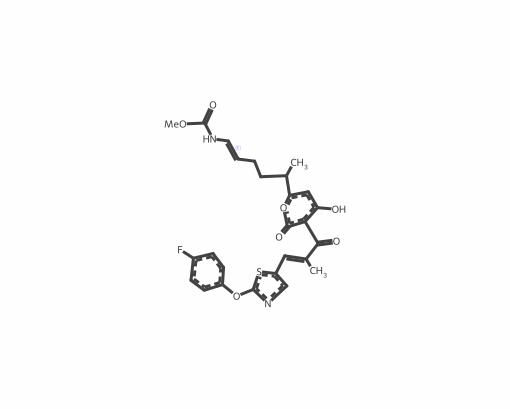 COC(=O)N/C=C/CCC(C)c1cc(O)c(C(=O)C(C)=Cc2cnc(Oc3ccc(F)cc3)s2)c(=O)o1